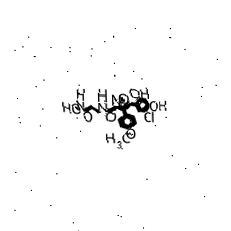 COc1ccc(-c2c(C(=O)NCCC(=O)NO)noc2-c2cc(Cl)c(O)cc2O)cc1